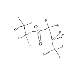 CC(F)(F)C(F)(F)S(=O)(=O)C(F)(F)C(F)(F)C(F)(F)F